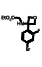 CCOC(=O)CNC1(c2ccc(Br)cc2F)COC1